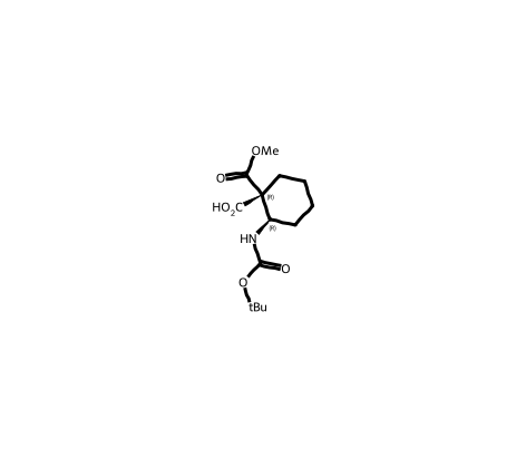 COC(=O)[C@]1(C(=O)O)CCCC[C@H]1NC(=O)OC(C)(C)C